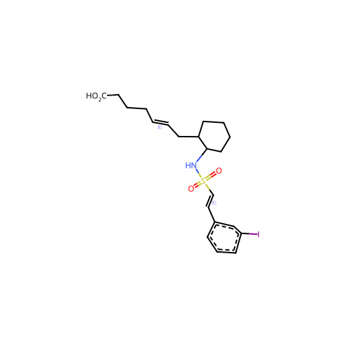 O=C(O)CCC/C=C/CC1CCCCC1NS(=O)(=O)/C=C/c1cccc(I)c1